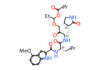 CCC(OCC(=O)[C@H](C[C@@H]1CCNC1=O)NC(=O)[C@H](CC(C)C)NC(=O)c1cc2c(OC)cccc2[nH]1)OC(=O)C(C)C